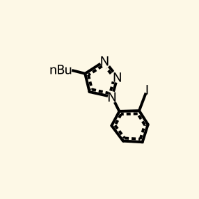 CCCCc1cn(-c2ccccc2I)nn1